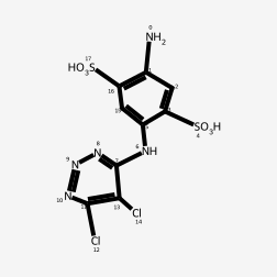 Nc1cc(S(=O)(=O)O)c(Nc2nnnc(Cl)c2Cl)cc1S(=O)(=O)O